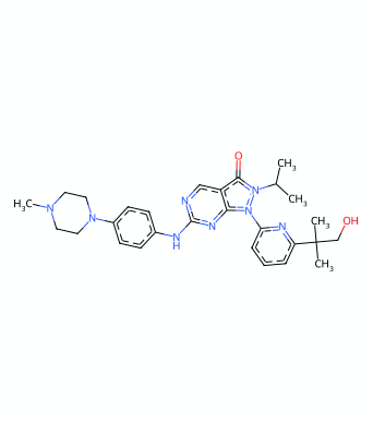 CC(C)n1c(=O)c2cnc(Nc3ccc(N4CCN(C)CC4)cc3)nc2n1-c1cccc(C(C)(C)CO)n1